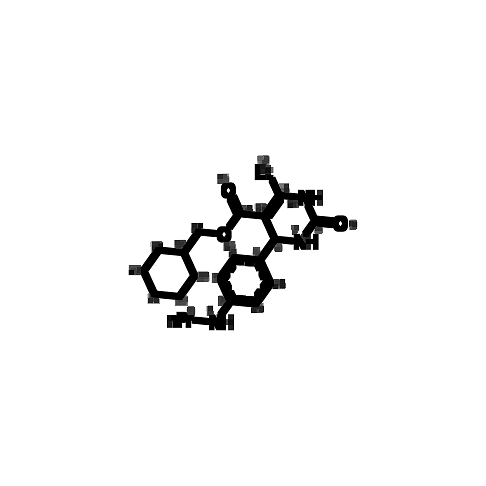 CCCNc1ccc(C2NC(=O)NC(CC)=C2C(=O)OCC2CCCCC2)cc1